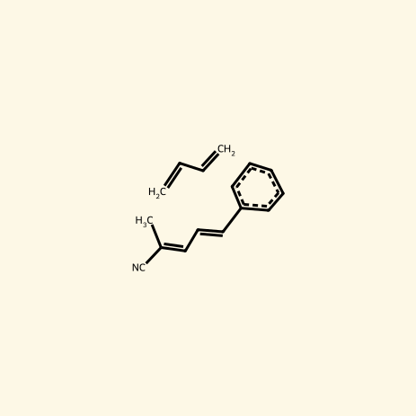 C=CC=C.CC(C#N)=CC=Cc1ccccc1